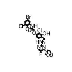 O=C(COc1ccc(/C=N\Nc2ncc(F)c(N3CCOCC3)n2)c(O)c1Cl)Nc1cc(Br)cc(Cl)c1O